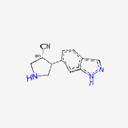 N#C[C@H]1CNCC1c1ccc2cn[nH]c2c1